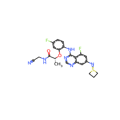 C[C@@H](Oc1cc(F)ccc1Nc1ncnc2cc(N=S3CCC3)cc(F)c12)C(=O)NCC#N